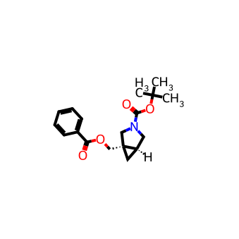 CC(C)(C)OC(=O)N1C[C@H]2C[C@@]2(COC(=O)c2ccccc2)C1